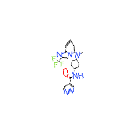 CN(c1cccc2nc(C(F)(F)F)cn12)[C@H]1CC[C@@H](NC(=O)c2ccnnc2)CC1